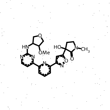 COC1COCC1Nc1nccc(-c2cccc(-c3cc(C4(O)CCN(C)C4=O)on3)n2)n1